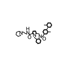 Cc1ccccc1-c1ccc(C(=O)N2Cc3ccc(C(=O)NCCN4CCCCC4)n3Cc3ccccc32)cc1C